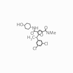 CNC(=O)c1cc(C(=O)N[C@H]2CC[C@H](O)CC2)c([C@H](C)c2cc(Cl)cc(Cl)c2)o1